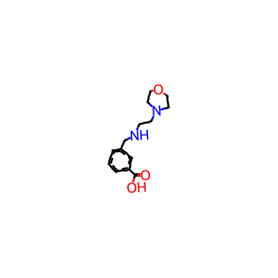 O=C(O)c1cccc(CNCCN2CCOCC2)c1